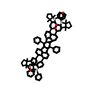 CC12CCCC1(C)N(c1ccccc1)c1ccc(-c3ccc4c5c(-c6ccccc6)c6c7ccc(-c8ccc9c(c8)C8(C)CCCC8(C)N9c8ccccc8)c8c(-c9ccc%10c(c9)C9(C)CCCC9(C)N%10c9ccccc9)ccc(c6c(-c6ccccc6)c5c5ccc(-c6ccc9c(c6)C6(C)CCCC6(C)N9c6ccccc6)c3c45)c87)cc12